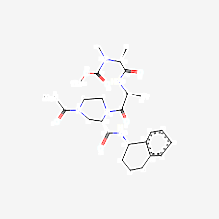 CNC(=O)N1CCN(C(=O)[C@@H](NC(=O)[C@H](C)N(C)C(=O)OC(C)(C)C)C(C)C)[C@H](C(=O)N[C@@H]2CCCc3ccccc32)C1